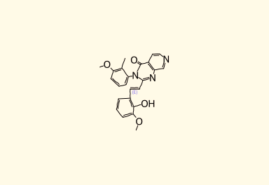 COc1cccc(-n2c(/C=C/c3cccc(OC)c3O)nc3cnccc3c2=O)c1C